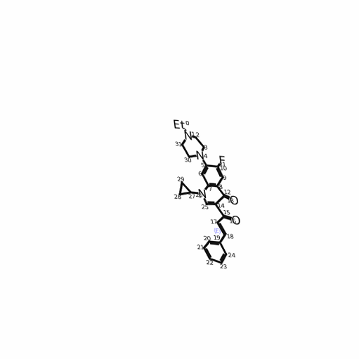 CCN1CCN(c2cc3c(cc2F)c(=O)c(C(=O)/C=C/c2ccccc2)cn3C2CC2)CC1